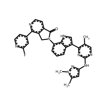 Cc1cnc(Nc2cc(C)n(C)n2)nc1-c1c[nH]c2c(N3Cc4c(ccnc4-c4ccnc(F)c4)C3=O)cccc12